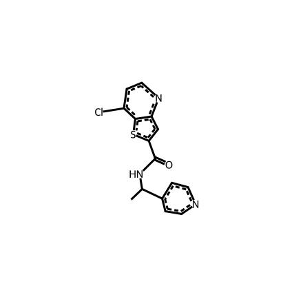 CC(NC(=O)c1cc2nccc(Cl)c2s1)c1ccncc1